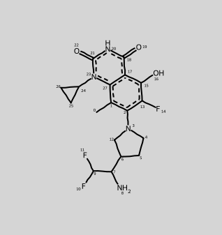 Cc1c(N2CCC(C(N)C(F)F)C2)c(F)c(O)c2c(=O)[nH]c(=O)n(C3CC3)c12